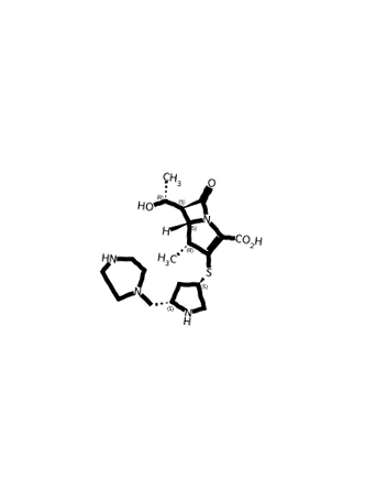 C[C@@H](O)[C@H]1C(=O)N2C(C(=O)O)=C(S[C@@H]3CN[C@H](CN4CCNCC4)C3)[C@H](C)[C@H]12